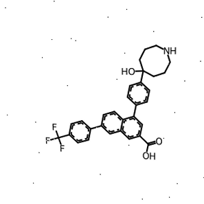 O=C(O)c1cc(-c2ccc(C3(O)CCCNCCC3)cc2)c2ccc(-c3ccc(C(F)(F)F)cc3)cc2c1